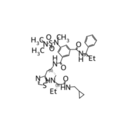 CC[C@H](NC[C@H](Cc1cscn1)NC(=O)c1cc(C(=O)N[C@H](CC)c2ccccc2)cc(N(C)S(=O)(=O)N(C)C)c1)C(=O)NCC1CC1